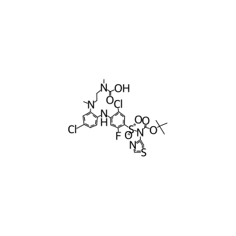 CN(CCN(C)c1cc(Cl)ccc1Nc1cc(F)c(S(=O)(=O)N(C(=O)OC(C)(C)C)c2cscn2)cc1Cl)C(=O)O